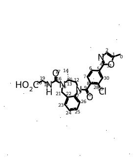 Cc1cnc(-c2ccc(C(=O)N3C[C@@H](C)N(C(=O)NCC(=O)O)Cc4ccccc43)c(Cl)c2)o1